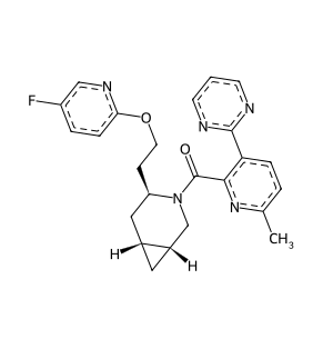 Cc1ccc(-c2ncccn2)c(C(=O)N2C[C@@H]3C[C@@H]3C[C@H]2CCOc2ccc(F)cn2)n1